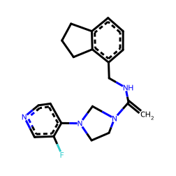 C=C(NCc1cccc2c1CCC2)N1CCN(c2ccncc2F)C1